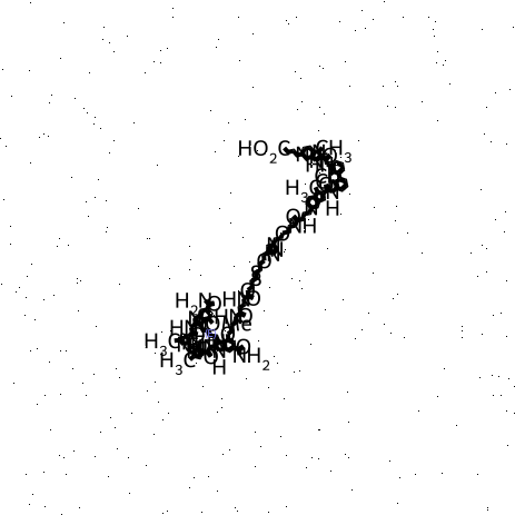 CCn1nc(C)cc1C(=O)Nc1nc2cc(C(N)=O)cc(OC)c2n1C/C=C/CN1c2c(cc(C(N)=O)cc2OCCCNC(=O)CCNC(=O)OCCSSCCOCc2cn(CCOCCNC(=O)CCCN3CCC4=C(C=C(C(=O)Nc5cccc(-c6cccc(NC(=O)c7nc8c(n7C)CCN(CCCC(=O)O)C8)c6Cl)c5Cl)C4C)C3)nn2)NC1NC(=O)c1cc(C)nn1CC